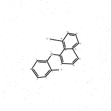 Ic1ccccc1Oc1cccc2cccc(I)c12